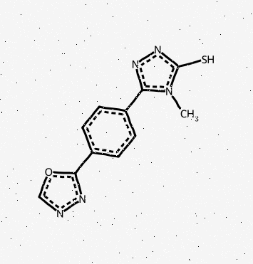 Cn1c(S)nnc1-c1ccc(-c2nnco2)cc1